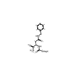 CCCCCCCC(=O)N[C@H](CC(=O)NCc1ccccc1)C(N)=O